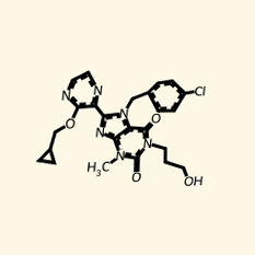 Cn1c(=O)n(CCCO)c(=O)c2c1nc(-c1nccnc1OCC1CC1)n2Cc1ccc(Cl)cc1